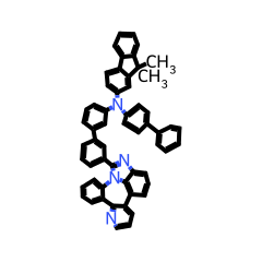 CC1(C)c2ccccc2-c2ccc(N(c3ccc(-c4ccccc4)cc3)c3cccc(-c4cccc(-c5nc6cccc7c6n5-c5ccccc5-c5ncccc5-7)c4)c3)cc21